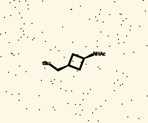 CC(=O)N[C@H]1C[C@@H](CC(C)(C)C)C1